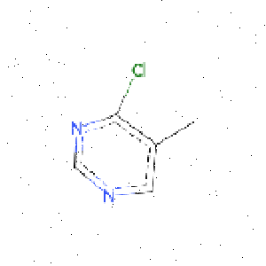 Cc1cncnc1Cl